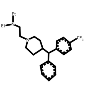 CCN(CC)CCN1CCC(C(c2ccccc2)c2ccc(C(F)(F)F)cc2)CC1